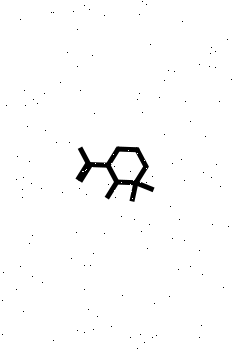 C=C(C)C1CCCC(C)(C)C1C